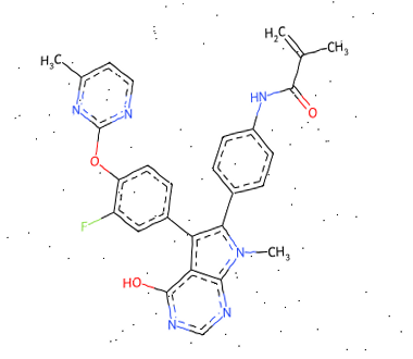 C=C(C)C(=O)Nc1ccc(-c2c(-c3ccc(Oc4nccc(C)n4)c(F)c3)c3c(O)ncnc3n2C)cc1